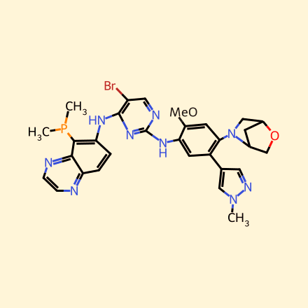 COc1cc(N2CC3CC2CO3)c(-c2cnn(C)c2)cc1Nc1ncc(Br)c(Nc2ccc3nccnc3c2P(C)C)n1